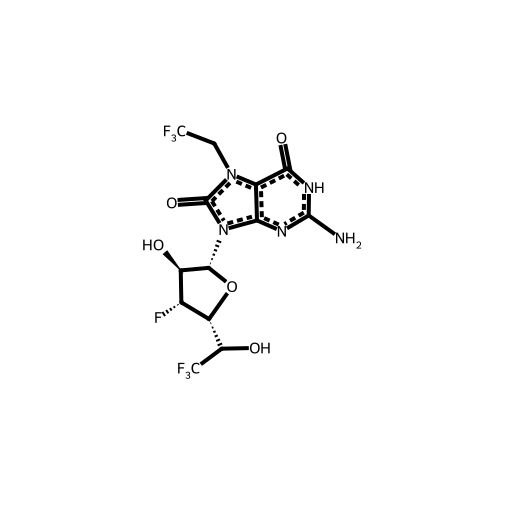 Nc1nc2c(c(=O)[nH]1)n(CC(F)(F)F)c(=O)n2[C@@H]1O[C@H](C(O)C(F)(F)F)[C@H](F)[C@H]1O